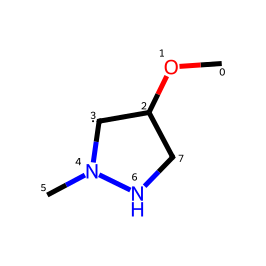 COC1[CH]N(C)NC1